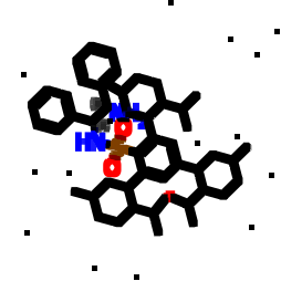 CC1CCC(C(C)C)C(c2cc(C3CC(C)CCC3C(C)C)c(S(=O)(=O)N[C@H](c3ccccc3)[C@@H](N)c3ccccc3)c(C3CC(C)CCC3C(C)C)c2)C1